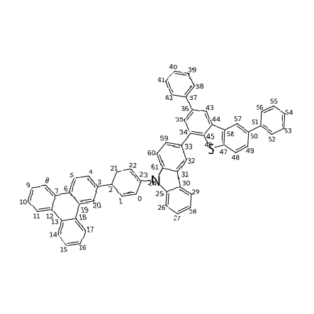 C1=CC(c2ccc3c4ccccc4c4ccccc4c3c2)CC=C1n1c2ccccc2c2cc(-c3cc(-c4ccccc4)cc4c3sc3ccc(-c5ccccc5)cc34)ccc21